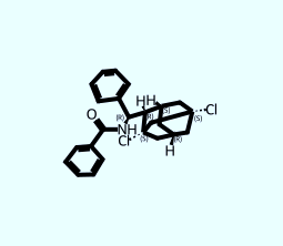 O=C(N[C@@H](c1ccccc1)[C@H]1[C@H]2C[C@@H]3C[C@](Cl)(C2)C[C@@]1(Cl)C3)c1ccccc1